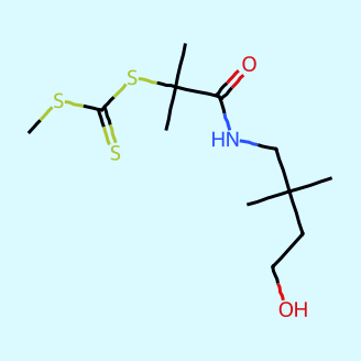 CSC(=S)SC(C)(C)C(=O)NCC(C)(C)CCO